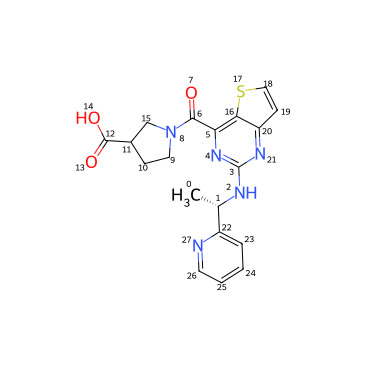 C[C@H](Nc1nc(C(=O)N2CCC(C(=O)O)C2)c2sccc2n1)c1ccccn1